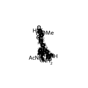 COc1ccc(C(=O)N2C[C@@H](C)N(C3CCN(c4nc(C(CNC(=O)C(CC(N)=O)NC(C)=O)(OC5CC5)c5ccccc5)c5cc(-c6cn(C)c(=O)c7[nH]ccc67)ccc5n4)CC3)C[C@@H]2C)cc1N1CCC(=O)NC1=O